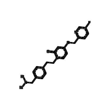 CCN(CC)Cc1ccc(CCn2ccc(OCc3ccc(F)cn3)cc2=O)cc1